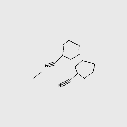 CC.N#CC1CCCCC1.N#CC1CCCCC1